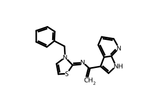 C=C(/N=c1\sccn1Cc1ccccc1)c1c[nH]c2ncccc12